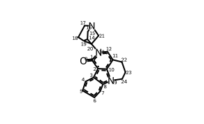 O=c1c2c3ccccc3n3c2c(cn1C1CN2CCC1CC2)CCC3